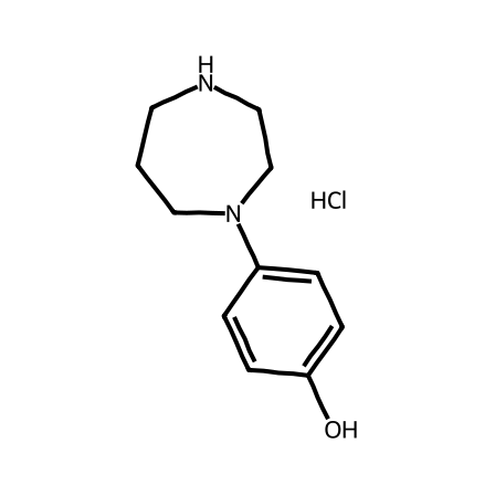 Cl.Oc1ccc(N2CCCNCC2)cc1